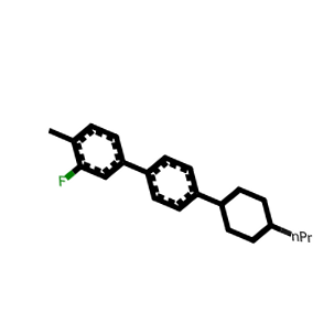 CCCC1CCC(c2ccc(-c3ccc(C)c(F)c3)cc2)CC1